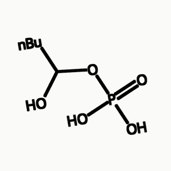 CCCCC(O)OP(=O)(O)O